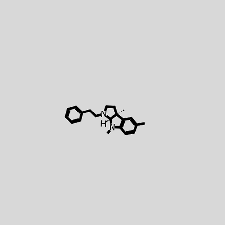 Cc1ccc2c(c1)[C@]1(C)CCN(CCc3ccccc3)[C@@H]1N2C